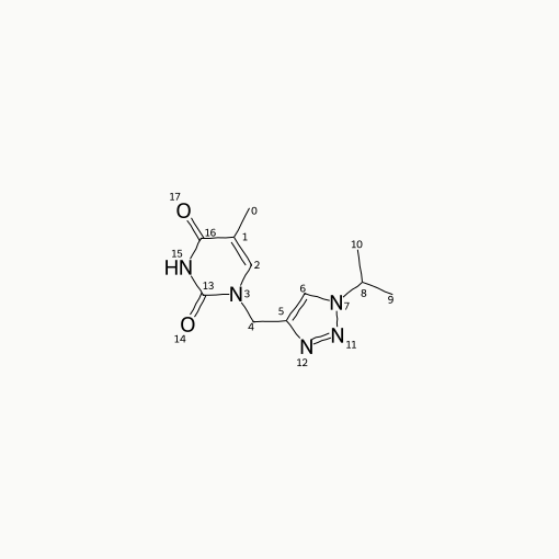 Cc1cn(Cc2cn(C(C)C)nn2)c(=O)[nH]c1=O